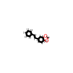 C(=Cc1ccc2c(c1)OCO2)c1ccccc1